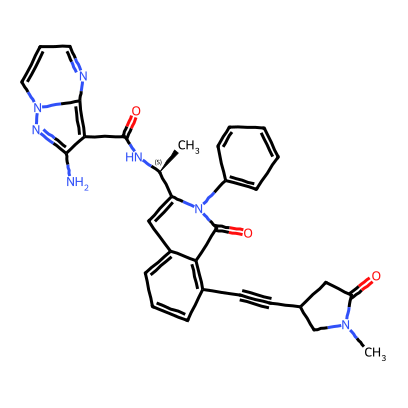 C[C@H](NC(=O)c1c(N)nn2cccnc12)c1cc2cccc(C#CC3CC(=O)N(C)C3)c2c(=O)n1-c1ccccc1